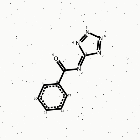 O=C(N=C1N=NN=N1)c1ccccc1